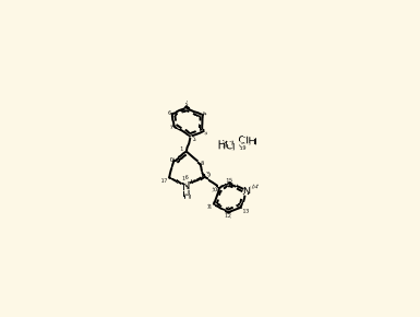 C1=C(c2ccccc2)CC(c2cccnc2)NC1.Cl.Cl